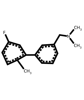 Cc1ccc(F)cc1-c1cccc(CN(C)C)c1